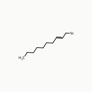 [2H]CC=CCCCCCCC